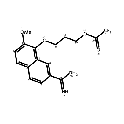 COc1ccc2ccc(C(=N)N)cc2c1OCCCOC(=O)C(F)(F)F